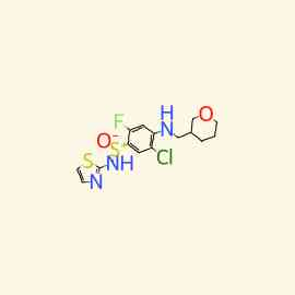 [O-][S+](Nc1nccs1)c1cc(Cl)c(NCC2CCCOC2)cc1F